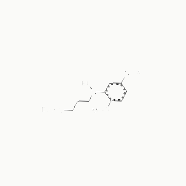 CCOC(=O)CCCN(CC)c1cc(NC(C)=O)ccc1OC